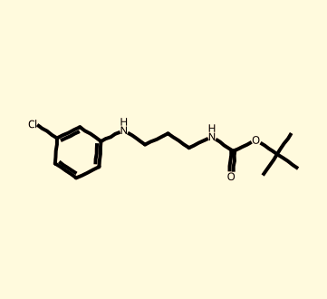 CC(C)(C)OC(=O)NCCCNc1cccc(Cl)c1